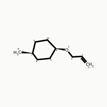 C=CCO[C@H]1CC[C@@H](C)CC1